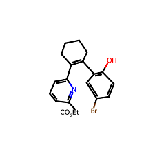 CCOC(=O)c1cccc(C2=C(c3cc(Br)ccc3O)CCCC2)n1